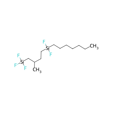 CCCCCCC[Si](F)(F)CCC(C)C[Si](F)(F)F